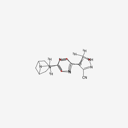 [2H]C([2H])([2H])Oc1ccc(C([2H])([2H])N2C3CC2CN(c2cnc(-c4c[nH]nc4C#N)cn2)C3)cn1